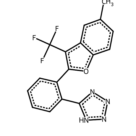 Cc1ccc2oc(-c3ccccc3-c3nnn[nH]3)c(C(F)(F)F)c2c1